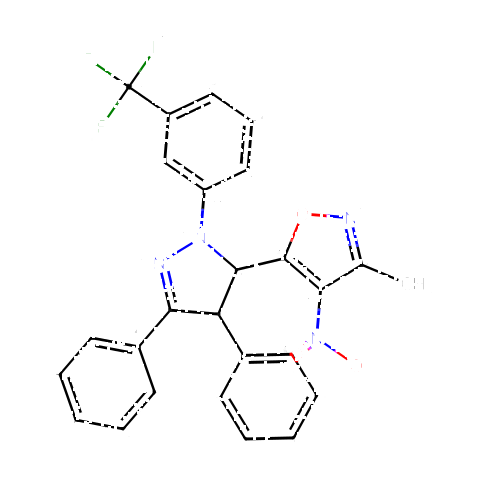 Cc1noc(C2C(c3ccccc3)C(c3ccccc3)=NN2c2cccc(C(F)(F)F)c2)c1[N+](=O)[O-]